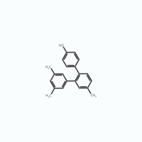 Cc1cc(C)cc(-c2cc(C)ccc2-c2ccc(O)cc2)c1